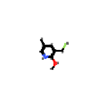 COc1ncc(C)cc1CF